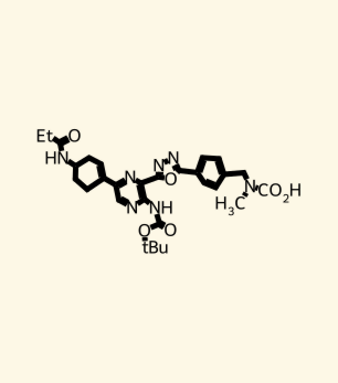 CCC(=O)NC1CC=C(c2cnc(NC(=O)OC(C)(C)C)c(-c3nnc(-c4ccc(CN(C)C(=O)O)cc4)o3)n2)CC1